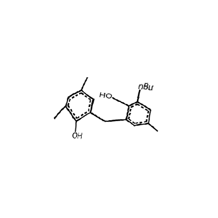 CCCCc1cc(C)cc(Cc2cc(C)cc(C)c2O)c1O